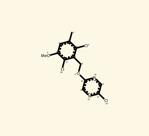 COc1cc(C)c(Cl)c(COc2cnc(Cl)cn2)c1Cl